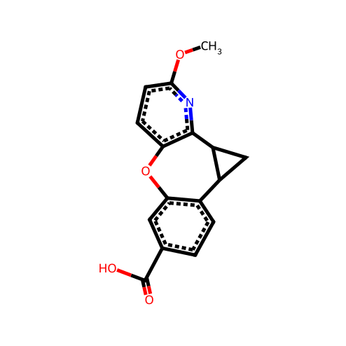 COc1ccc2c(n1)C1CC1c1ccc(C(=O)O)cc1O2